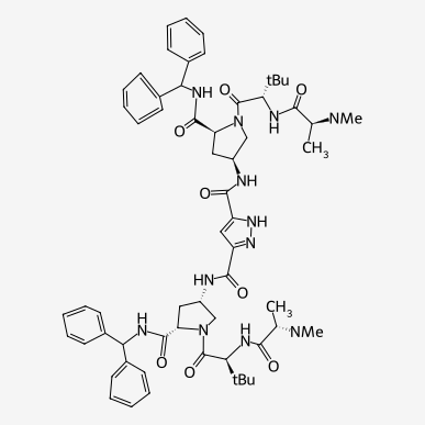 CN[C@@H](C)C(=O)N[C@H](C(=O)N1C[C@@H](NC(=O)c2cc(C(=O)N[C@H]3C[C@@H](C(=O)NC(c4ccccc4)c4ccccc4)N(C(=O)[C@@H](NC(=O)[C@H](C)NC)C(C)(C)C)C3)[nH]n2)C[C@H]1C(=O)NC(c1ccccc1)c1ccccc1)C(C)(C)C